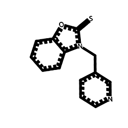 S=c1oc2ccccc2n1Cc1cccnc1